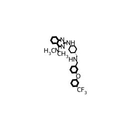 CN(C)c1nc(N[C@H]2CC[C@@H](CNCc3cccc(Oc4cccc(C(F)(F)F)c4)c3)CC2)nc2ccccc12